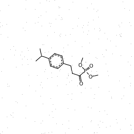 COP(=O)(OC)C(=O)CCc1ccc(C(C)C)cc1